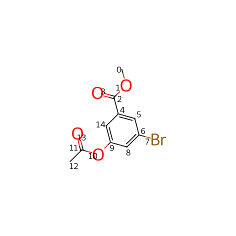 COC(=O)c1cc(Br)cc(OC(C)=O)c1